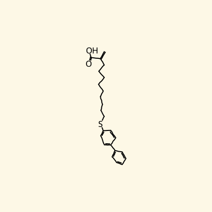 C=C(CCCCCCCCCSc1ccc(-c2ccccc2)cc1)C(=O)O